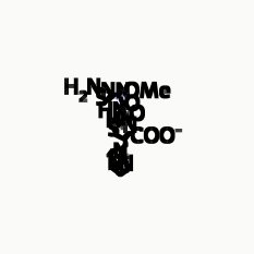 CO/N=C(\C(=O)N[C@@H]1C(=O)N2C(C(=O)[O-])=C(Cn3cc[n+]4cccnc34)CS[C@H]12)c1csc(N)n1